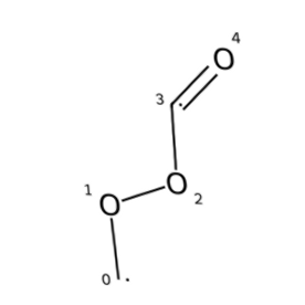 [CH2]OO[C]=O